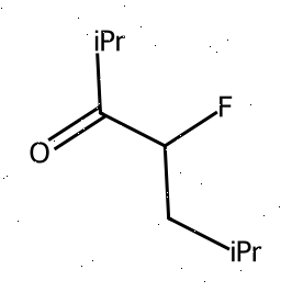 CC(C)CC(F)C(=O)C(C)C